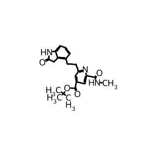 CNC(=O)c1cc(C(=O)OC(C)(C)C)cc(CCc2cccc3c2CC(=O)N3)n1